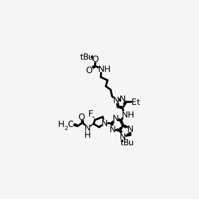 C=CC(=O)N[C@@H]1CN(c2nc(Nc3cn(CCCCCNC(=O)OC(C)(C)C)nc3CC)c3ncn(C(C)(C)C)c3n2)C[C@H]1F